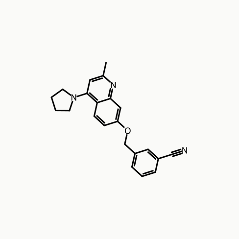 Cc1cc(N2CCCC2)c2ccc(OCc3cccc(C#N)c3)cc2n1